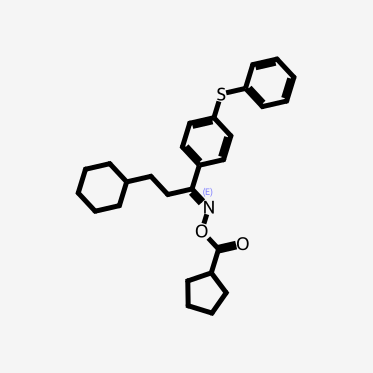 O=C(O/N=C(\CCC1CCCCC1)c1ccc(Sc2ccccc2)cc1)C1CCCC1